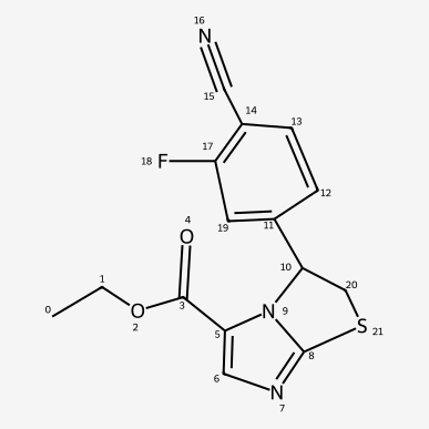 CCOC(=O)c1cnc2n1C(c1ccc(C#N)c(F)c1)CS2